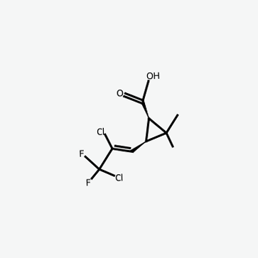 CC1(C)[C@H](C(=O)O)[C@@H]1C=C(Cl)C(F)(F)Cl